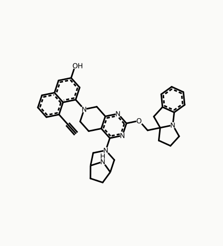 C#Cc1cccc2cc(O)cc(N3CCc4c(nc(OCC56CCCN5c5ccccc5C6)nc4N4CC5CCC(C4)N5)C3)c12